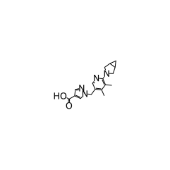 Cc1c(Cn2cc(C(=O)O)cn2)cnc(N2CC3CC3C2)c1C